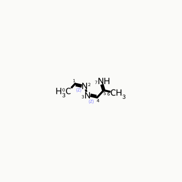 C/C=N\N=C/C(C)=N